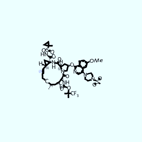 CC[C@@H]1C[C@H](C)CC/C=C\[C@@H]2C[C@@]2(C(=O)NS(=O)(=O)C2(C)CC2)NC(=O)[C@@H]2C[C@@H](Oc3ncc(N4CCN(S(C)(=O)=O)CC4)c4cc(OC)ccc34)CN2C(=O)[C@H]1NC(=O)OC(C)(C)C(F)(F)F